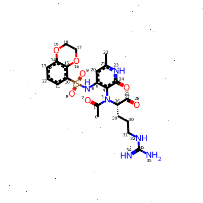 CC(=O)N(c1c(NS(=O)(=O)c2cccc3c2OCCO3)cc(C)[nH]c1=O)[C@H](C=O)CCCNC(=N)N